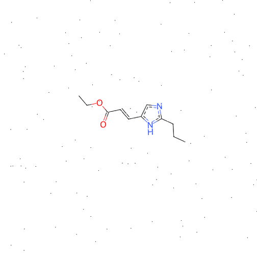 CCCc1ncc(C=CC(=O)OCC)[nH]1